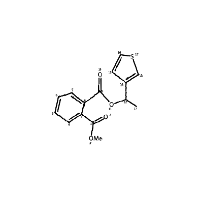 COC(=O)c1ccccc1C(=O)OC(C)c1ccsc1